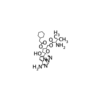 CC(C)[C@H](N)C(=O)OC[C@H]1O[C@@](C#N)(c2ccc3c(N)ncnn23)[C@H](O)[C@@H]1OC(=O)CC1CCCCC1